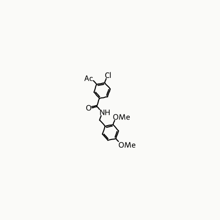 COc1ccc(CNC(=O)c2ccc(Cl)c(C(C)=O)c2)c(OC)c1